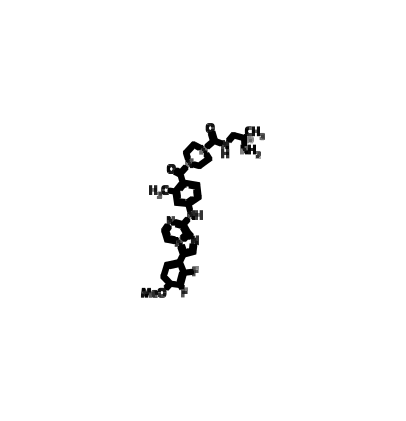 COC1CC=C(c2cnc3c(Nc4ccc(C(=O)N5CCN(C(=O)NC[C@H](C)N)CC5)c(C)c4)nccn23)C(F)=C1F